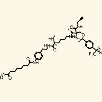 C#CCNC(=O)C1(C(=O)NCCCC[C@@H](C(=O)NCCc2ccc(NC(=O)CCCCCCC(=O)NO)cc2)N(C)C)COC(c2ccc(C3(C(F)(F)F)N=N3)cc2)OC1